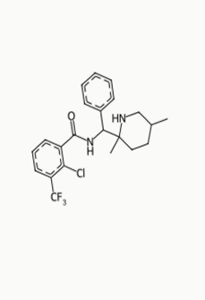 CC1CCC(C)(C(NC(=O)c2cccc(C(F)(F)F)c2Cl)c2ccccc2)NC1